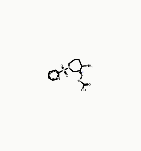 NC1CCCN(S(=O)(=O)c2ccccn2)C/C1=N\NC(=O)O